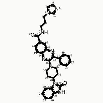 O=C(NCCCn1ccnc1)c1ccc2nc(N3CCC(n4c(=O)[nH]c5ccccc54)CC3)c(-c3ccccc3)nc2c1